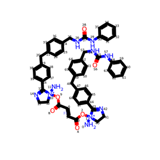 N[N+]1(OC(=O)/C=C/C(=O)O[N+]2(N)CCN=C2c2ccc(Cc3ccc(CNC(=O)Nc4ccccc4)cc3)cc2)CCN=C1c1ccc(Cc2ccc(CNC(=O)Nc3ccccc3)cc2)cc1